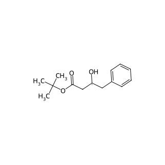 CC(C)(C)OC(=O)C[C](O)Cc1ccccc1